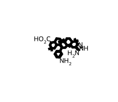 CC1(C)CC2C3=C(c4cccc(N)c4)CC4C5(C)Cc6c(n[nH]c6N)C(C)(C)C5CCC4(C)C3(C)CCC2[C@H](C(=O)O)C1